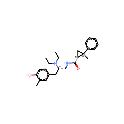 CCN(CC)[C@H](CNC(=O)[C@@H]1C[C@]1(C)c1ccccc1)Cc1ccc(O)c(C)c1